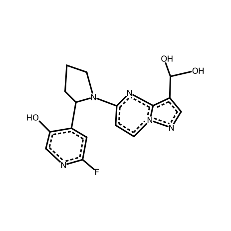 Oc1cnc(F)cc1C1CCCN1c1ccn2ncc(C(O)O)c2n1